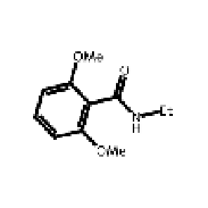 CCNC(=O)c1c(OC)cccc1OC